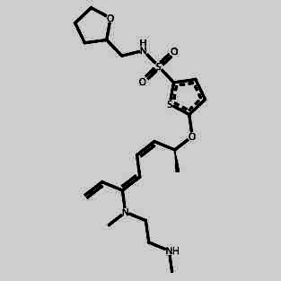 C=C/C(=C\C=C/[C@H](C)Oc1ccc(S(=O)(=O)NCC2CCCO2)s1)N(C)CCNC